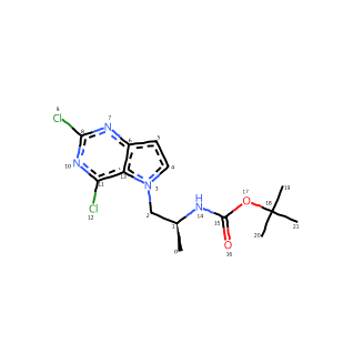 C[C@@H](Cn1ccc2nc(Cl)nc(Cl)c21)NC(=O)OC(C)(C)C